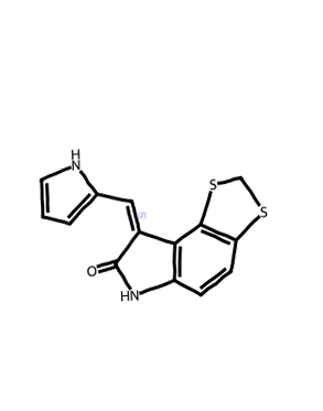 O=C1Nc2ccc3c(c2/C1=C/c1ccc[nH]1)SCS3